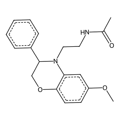 COc1ccc2c(c1)N(CCNC(C)=O)C(c1ccccc1)CO2